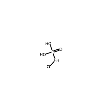 O=P(O)(O)PCl